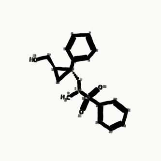 CN(C[C@]1(c2ccccc2)C[C@H]1CO)S(=O)(=O)c1ccccc1